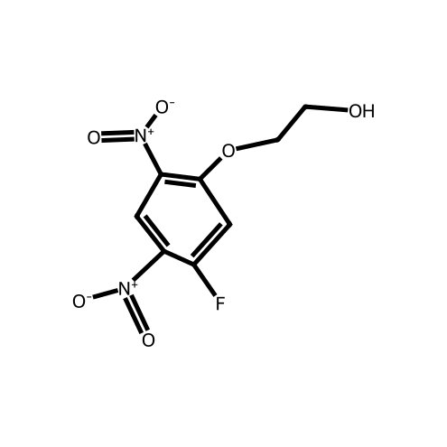 O=[N+]([O-])c1cc([N+](=O)[O-])c(OCCO)cc1F